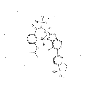 [2H]C([2H])([2H])N1C(=O)c2cccc(OC(F)F)c2[C@H]2C[C@@H]1c1nc3ccc(-c4cnc5c(c4)CCC5(C)O)c(F)c3n12